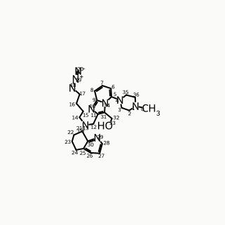 CN1CCN(c2cccc3nc(CN(CCCCN=[N+]=[N-])[C@H]4CCCc5cccnc54)c(CO)n23)CC1